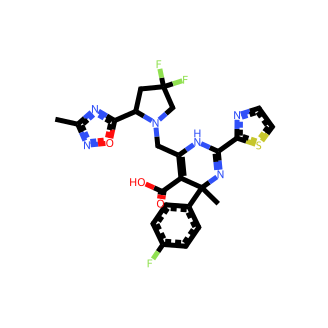 Cc1noc(C2CC(F)(F)CN2CC2=C(C(=O)O)C(C)(c3ccc(F)cc3)N=C(c3nccs3)N2)n1